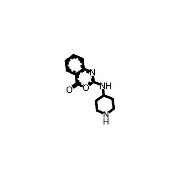 O=c1oc(NC2CCNCC2)nc2ccccc12